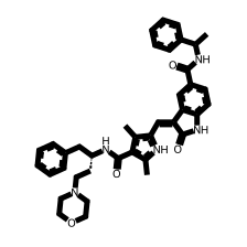 Cc1[nH]c(/C=C2\C(=O)Nc3ccc(C(=O)NC(C)c4ccccc4)cc32)c(C)c1C(=O)N[C@H](CCN1CCOCC1)Cc1ccccc1